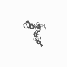 C[C@@H]1[C@H](NC(=O)c2ccc(C3CC3)cc2)CCCN1c1cnc(C(N)=O)c(Nc2ccc3c(c2)CCOC3)n1